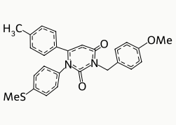 COc1ccc(Cn2c(=O)cc(-c3ccc(C)cc3)n(-c3ccc(SC)cc3)c2=O)cc1